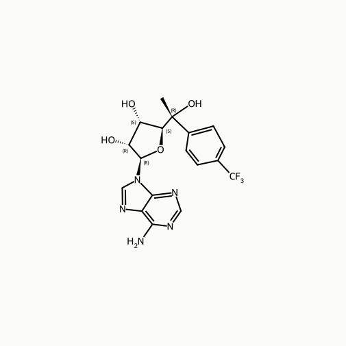 C[C@@](O)(c1ccc(C(F)(F)F)cc1)[C@H]1O[C@@H](n2cnc3c(N)ncnc32)[C@H](O)[C@@H]1O